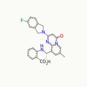 Cc1cc([C@H](C)Nc2ccccc2C(=O)O)c2nc(N3Cc4ccc(F)cc4C3)cc(=O)n2c1